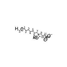 CCCCCCCCCCCCC(=O)[O-].[Rb+]